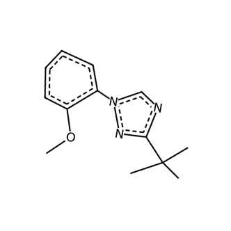 COc1ccccc1-n1cnc(C(C)(C)C)n1